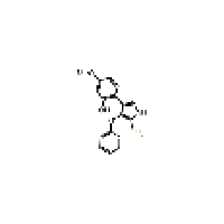 COc1ccc(-c2n[nH]c(C)c2Oc2ccccc2)c(O)c1